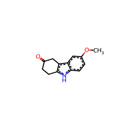 COc1ccc2[nH]c3c(c2c1)CC(=O)CC3